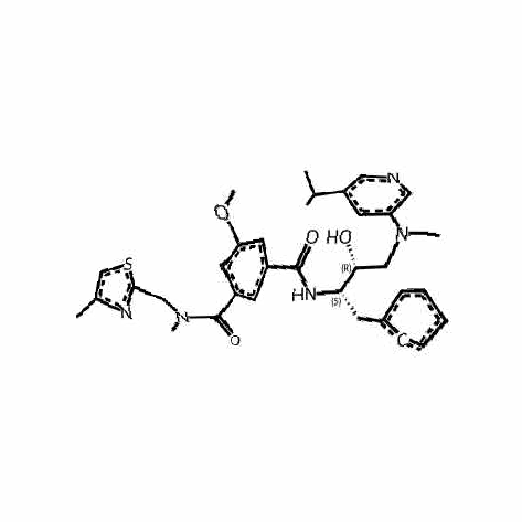 COc1cc(C(=O)N[C@@H](Cc2ccccc2)[C@H](O)CN(C)c2cncc(C(C)C)c2)cc(C(=O)N(C)Cc2nc(C)cs2)c1